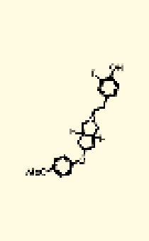 COc1ccc(O[C@@H]2C[C@@H]3CN(CCc4ccc(O)c(F)c4)C[C@@H]3C2)cc1